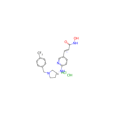 Cl.Cl.O=C(/C=C/c1ccc(N[C@@H]2CCN(Cc3ccc(C(F)(F)F)cc3)C2)nc1)NO